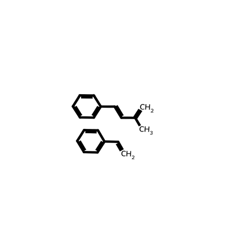 C=C(C)C=Cc1ccccc1.C=Cc1ccccc1